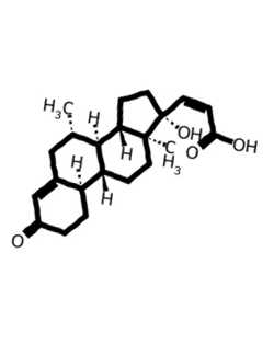 C[C@H]1CC2=CC(=O)CC[C@@H]2[C@H]2CC[C@@]3(C)[C@@H](CC[C@@]3(O)/C=C\C(=O)O)[C@@H]21